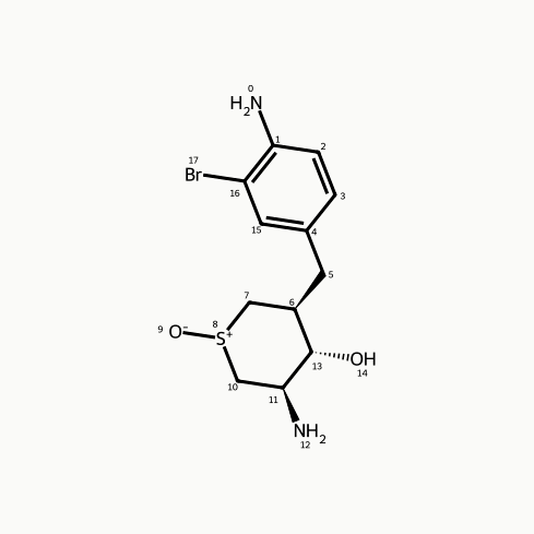 Nc1ccc(C[C@@H]2C[S+]([O-])C[C@H](N)[C@H]2O)cc1Br